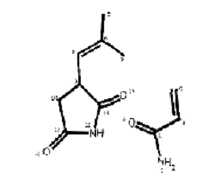 C=CC(N)=O.CC(C)=CC1CC(=O)NC1=O